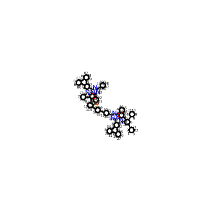 c1ccc(-c2cc(-c3ccccc3)c3c4ccccc4n(-c4cc5c6ccccc6c6ccccc6c5cc4-c4nc(-c5ccccc5)nc(-c5ccc(-c6ccc7c(c6)sc6c(-c8cccc9c8c8ccccc8n9-c8cc9c%10ccccc%10c%10ccccc%10c9cc8-c8nc(-c9ccccc9)nc(-c9ccccc9)n8)cccc67)cc5)n4)c3c2)cc1